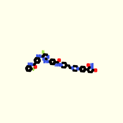 O=C1CCC(c2ccc(N3CCN(CCC4CCN(NC(=O)c5ccc(Nc6ncc(F)c(Nc7ccc(C(=O)Nc8ccccc8F)cc7)n6)cc5)CC4)CC3)cc2)C(=O)N1